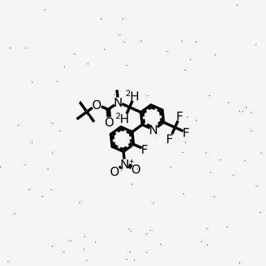 [2H]C([2H])(c1ccc(C(F)(F)F)nc1-c1cccc([N+](=O)[O-])c1F)N(C)C(=O)OC(C)(C)C